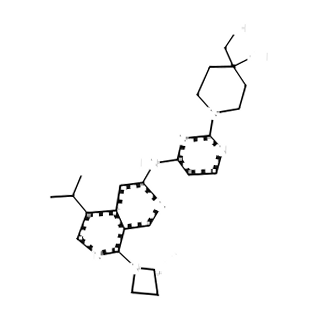 CC(C)c1cnc(N2CC[C@H]2C)c2cnc(Nc3ccnc(N4CCC(O)(CO)CC4)n3)cc12